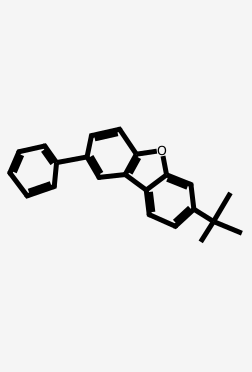 CC(C)(C)c1ccc2c(c1)oc1ccc(-c3ccccc3)cc12